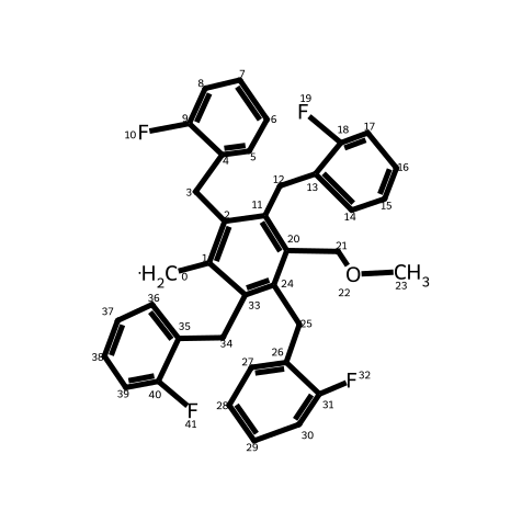 [CH2]c1c(Cc2ccccc2F)c(Cc2ccccc2F)c(COC)c(Cc2ccccc2F)c1Cc1ccccc1F